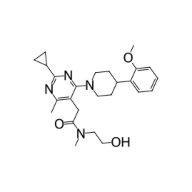 COc1ccccc1C1CCN(c2nc(C3CC3)nc(C)c2CC(=O)N(C)CCO)CC1